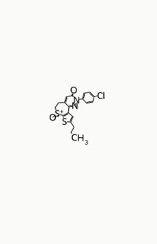 CCCc1cc2c(s1)[S+]([O-])CCc1cc(=O)n(-c3ccc(Cl)cc3)nc1-2